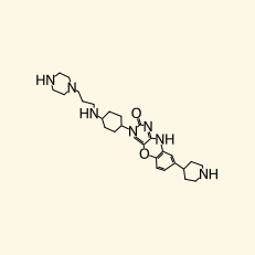 O=c1nc2c(cn1C1CCC(NCCCN3CCNCC3)CC1)Oc1ccc(C3CCNCC3)cc1N2